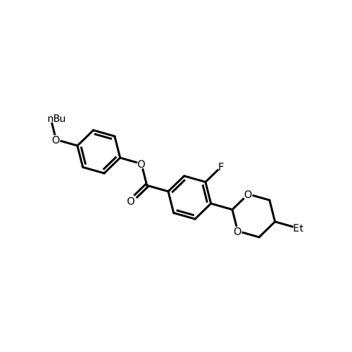 CCCCOc1ccc(OC(=O)c2ccc(C3OCC(CC)CO3)c(F)c2)cc1